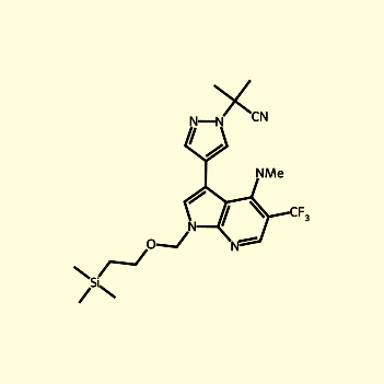 CNc1c(C(F)(F)F)cnc2c1c(-c1cnn(C(C)(C)C#N)c1)cn2COCC[Si](C)(C)C